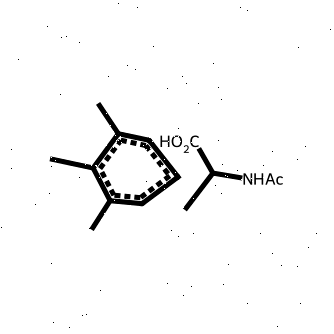 CC(=O)NC(C)C(=O)O.Cc1cccc(C)c1C